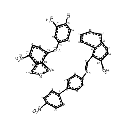 O=[N+]([O-])c1ccc(-c2ccc(/N=C/c3c(O)ccc4ccccc34)cc2)cc1.O=[N+]([O-])c1ccc(Nc2ccc(Cl)c(C(F)(F)F)c2)c2nonc12